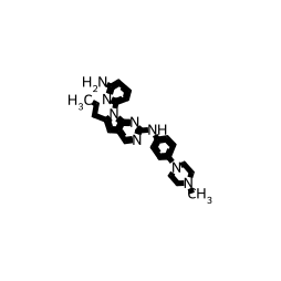 CCCc1cc2cnc(Nc3ccc(N4CCN(C)CC4)cc3)nc2n1-c1cccc(N)n1